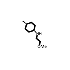 COCCN[C@H]1CC[C@@H](C)CC1